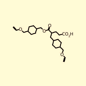 C=COCC1CCC(COC(=O)C(CCC(=O)O)CC2CCC(COC=C)CC2)CC1